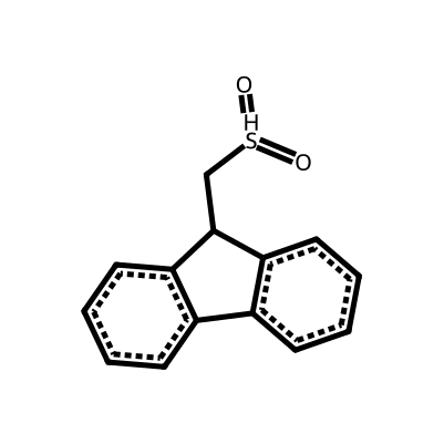 O=[SH](=O)CC1c2ccccc2-c2ccccc21